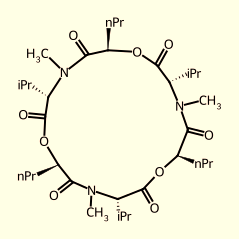 CCC[C@H]1OC(=O)[C@H](C(C)C)N(C)C(=O)[C@@H](CCC)OC(=O)[C@H](C(C)C)N(C)C(=O)[C@@H](CCC)OC(=O)[C@H](C(C)C)N(C)C1=O